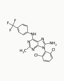 Cc1nc(Nc2ccc(C(F)(F)F)cc2)c2nc(N)n(-c3c(Cl)cccc3Cl)c2n1